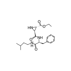 CCOC(=O)[C@H]1N[C@@H]1C(=O)N[C@@H](Cc1ccccc1)C(=O)NCCC(C)C